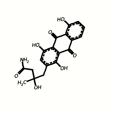 CC(O)(CC(N)=O)Cc1cc(O)c2c(c1O)C(=O)c1cccc(O)c1C2=O